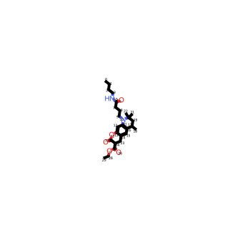 CCCCNC(=O)CCCN1c2cc3c(cc2C(C)CC1(C)C)CC(C(=O)OCC)C(=O)O3